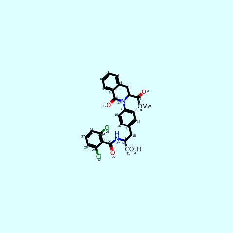 COC(=O)C1Cc2ccccc2C(=O)N1c1ccc(C[C@H](NC(=O)c2c(Cl)cccc2Cl)C(=O)O)cc1